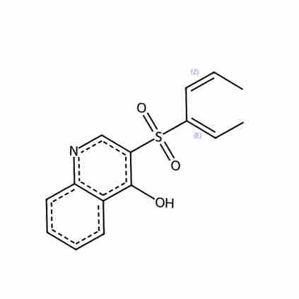 C/C=C\C(=C/C)S(=O)(=O)c1cnc2ccccc2c1O